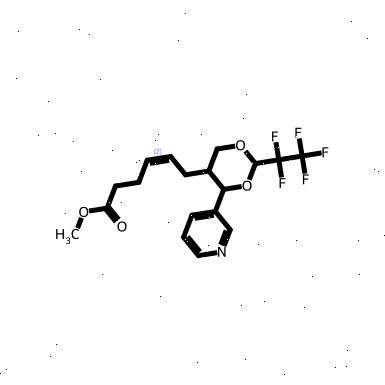 COC(=O)CC/C=C\CC1COC(C(F)(F)C(F)(F)F)OC1c1cccnc1